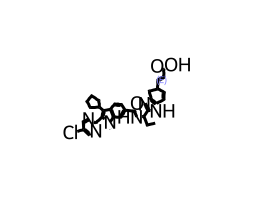 CCC(NC(=O)c1ccc2c(C3CCCC3)c(-c3ncc(Cl)cn3)n(C)c2c1)c1nc2c([nH]1)C=CC(/C=C/C(=O)O)C2